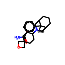 COC1(c2cccc(C(N)=O)c2)C2CCCC1CN(C1CCC3(CC1)COC3)C2